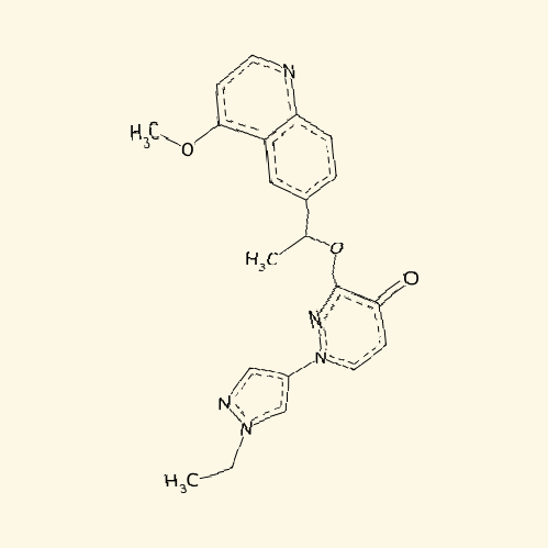 CCn1cc(-n2ccc(=O)c(OC(C)c3ccc4nccc(OC)c4c3)n2)cn1